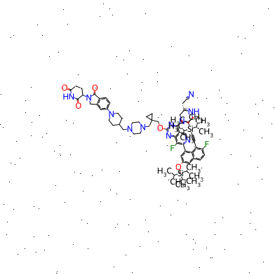 CC(C)[Si](C#Cc1c(F)ccc2cc(O[Si](C(C)C)(C(C)C)C(C)C)cc(-c3ncc4c(N5CCN[C@@H](CC#N)C5)nc(OCC5(CN6CCN(CC7CCN(c8ccc9c(c8)CN(C8CCC(=O)NC8=O)C9=O)CC7)CC6)CC5)nc4c3F)c12)(C(C)C)C(C)C